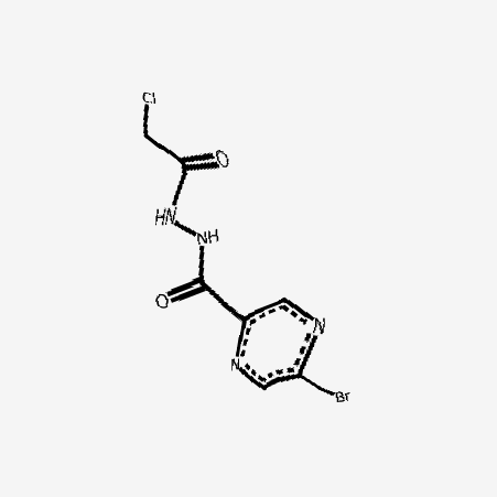 O=C(CCl)NNC(=O)c1cnc(Br)cn1